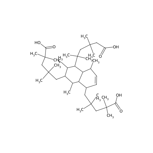 CC1C=CC(CC(C)(C)CC(C)(C)C(=O)O)C2C(C)C(CC(C)(C)CC(C)(C)C(=O)O)C(C)C(C(C)(C)CC(C)(C)CC(=O)O)C12